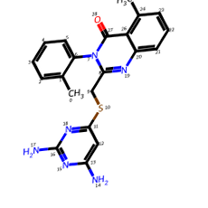 Cc1ccccc1-n1c(CSc2cc(N)nc(N)n2)nc2cccc(C)c2c1=O